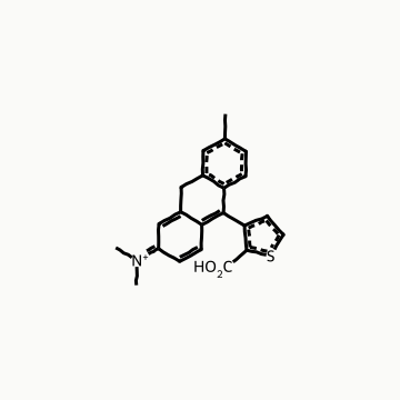 Cc1ccc2c(c1)CC1=CC(=[N+](C)C)C=CC1=C2c1ccsc1C(=O)O